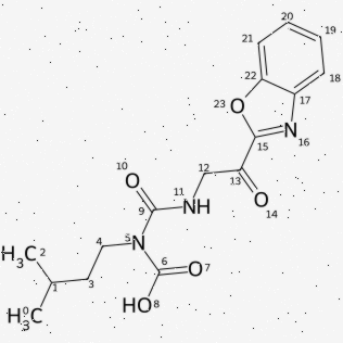 CC(C)CCN(C(=O)O)C(=O)NCC(=O)c1nc2ccccc2o1